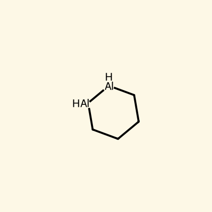 C1C[CH2][AlH][AlH][CH2]1